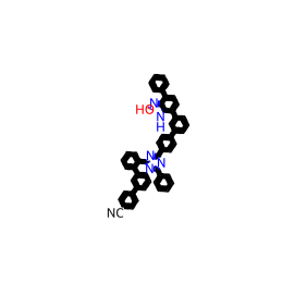 N#Cc1ccc(-c2cccc(-c3ccccc3-c3nc(-c4ccccc4)nc(-c4ccc(-c5cccc(C6=CC=C(c7ccccc7)/C(=N/O)C6=N)c5)cc4)n3)c2)cc1